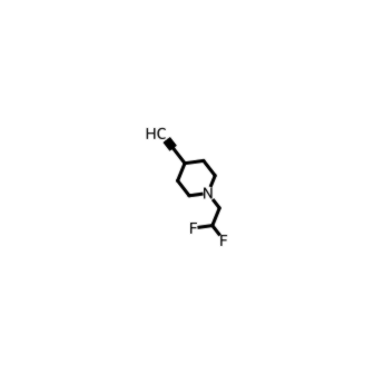 C#CC1CCN(CC(F)F)CC1